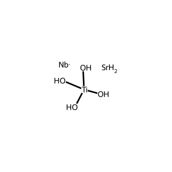 [Nb].[OH][Ti]([OH])([OH])[OH].[SrH2]